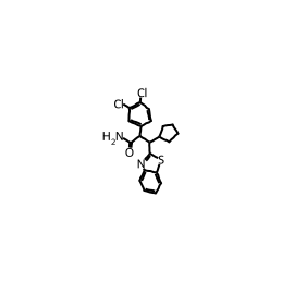 NC(=O)C(c1ccc(Cl)c(Cl)c1)C(c1nc2ccccc2s1)C1CCCC1